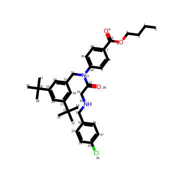 CCCCOC(=O)c1ccc(N(Cc2cc(C(C)(C)C)cc(C(C)(C)C)c2)C(=O)CNCc2ccc(Cl)cc2)cc1